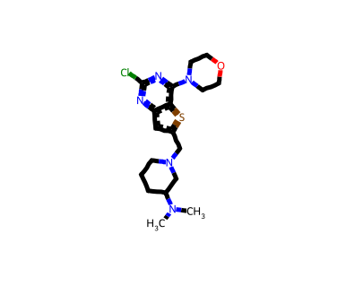 CN(C)C1CCCN(Cc2cc3nc(Cl)nc(N4CCOCC4)c3s2)C1